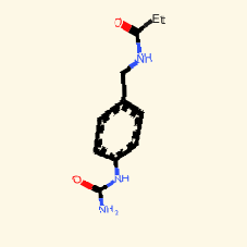 CCC(=O)NCc1ccc(NC(N)=O)cc1